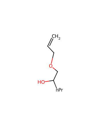 C=CCOCC(O)CCC